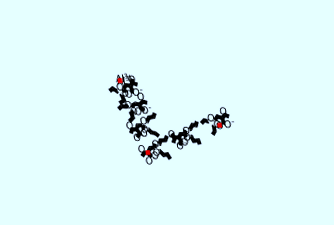 CCCCOC(CC(C(C)=O)C(=O)[O-])OCCCC.CCCCOC(CC(C(C)=O)C(=O)[O-])OCCCC.CCCCOC(CC(C(C)=O)C(=O)[O-])OCCCC.CCCOC(CC(C(C)=O)C(=O)[O-])OCCC.CCCOC(CC(C(C)=O)C(=O)[O-])OCCC.CCCOC(CC(C(C)=O)C(=O)[O-])OCCC.[Al+3].[Al+3]